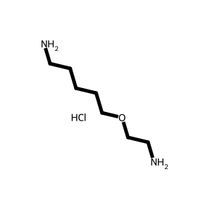 Cl.NCCCCCOCCN